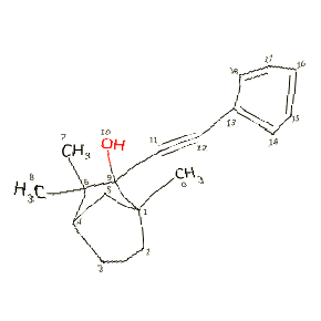 CC12CCC(C1)C(C)(C)C2(O)C#Cc1ccccc1